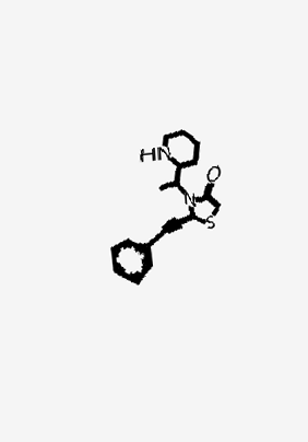 CC(C1CCCCN1)N1C(=O)CSC1C#Cc1ccccc1